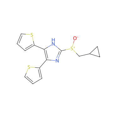 [O-][S+](CC1CC1)c1nc(-c2cccs2)c(-c2cccs2)[nH]1